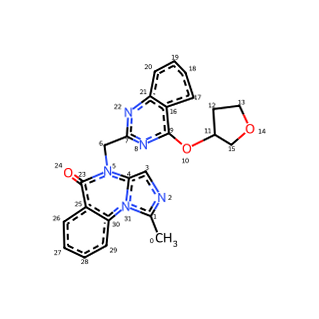 Cc1ncc2n(Cc3nc(OC4CCOC4)c4ccccc4n3)c(=O)c3ccccc3n12